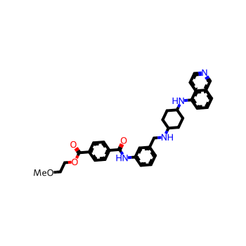 COCCOC(=O)c1ccc(C(=O)Nc2cccc(CNC3CCC(Nc4cccc5cnccc45)CC3)c2)cc1